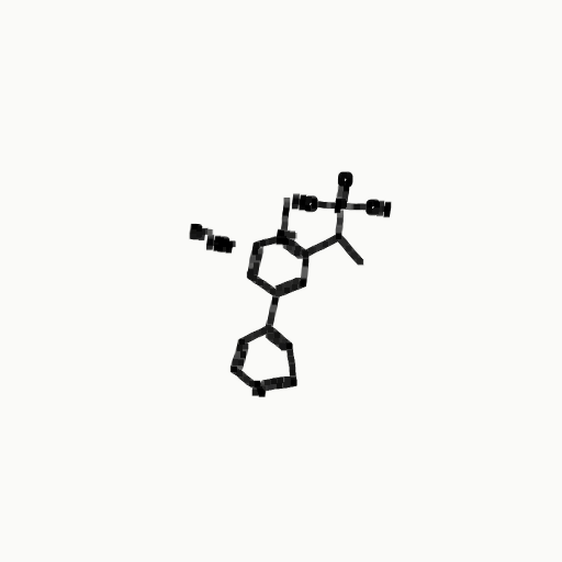 Br.CC(c1cc(-c2ccncc2)cc[n+]1C)P(=O)(O)O.[Br-]